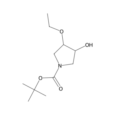 CCOC1CN(C(=O)OC(C)(C)C)CC1O